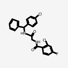 O=C(CNC(=O)c1ccc(F)cc1Cl)NC(c1ccccc1)c1ccc(Cl)cc1